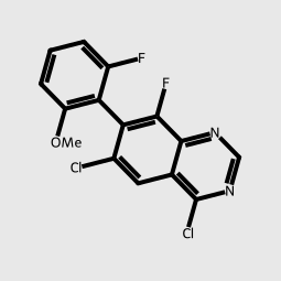 COc1cccc(F)c1-c1c(Cl)cc2c(Cl)ncnc2c1F